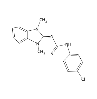 Cn1c(=NC(=S)Nc2ccc(Cl)cc2)n(C)c2ccccc21